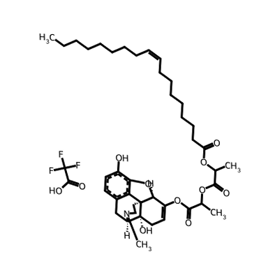 CCCCCCCC/C=C\CCCCCCCC(=O)OC(C)C(=O)OC(C)C(=O)OC1=CC[C@@]2(O)[C@H]3Cc4ccc(O)c5c4[C@@]2(CCN3C)[C@H]1O5.O=C(O)C(F)(F)F